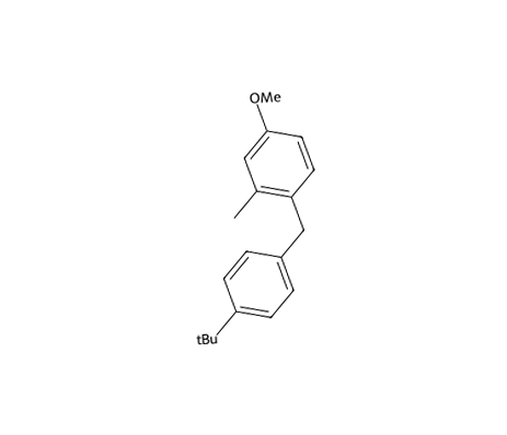 COc1ccc(Cc2ccc(C(C)(C)C)cc2)c(C)c1